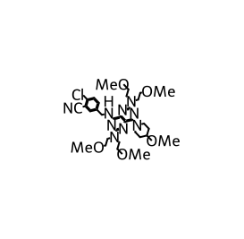 COCCN(CCOC)c1nc(N2CCC(OC)CC2)c2nc(N(CCOC)CCOC)nc(NCc3ccc(Cl)c(C#N)c3)c2n1